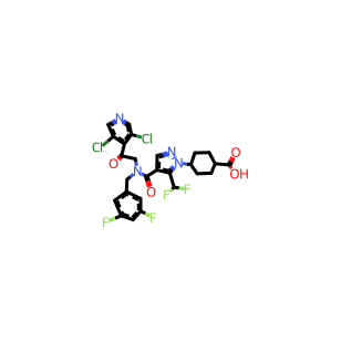 O=C(CN(Cc1cc(F)cc(F)c1)C(=O)c1cnn(C2CCC(C(=O)O)CC2)c1C(F)F)c1c(Cl)cncc1Cl